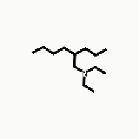 CCCCC(CCC)CN(CC)CC